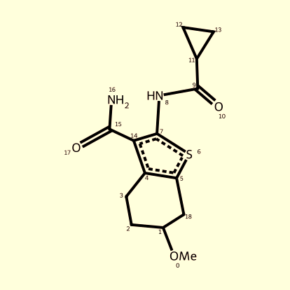 COC1CCc2c(sc(NC(=O)C3CC3)c2C(N)=O)C1